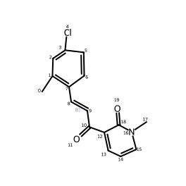 Cc1cc(Cl)ccc1/C=C/C(=O)c1cccn(C)c1=O